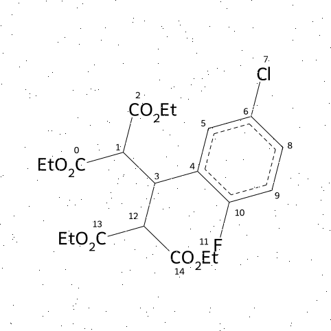 CCOC(=O)C(C(=O)OCC)C(c1cc(Cl)ccc1F)C(C(=O)OCC)C(=O)OCC